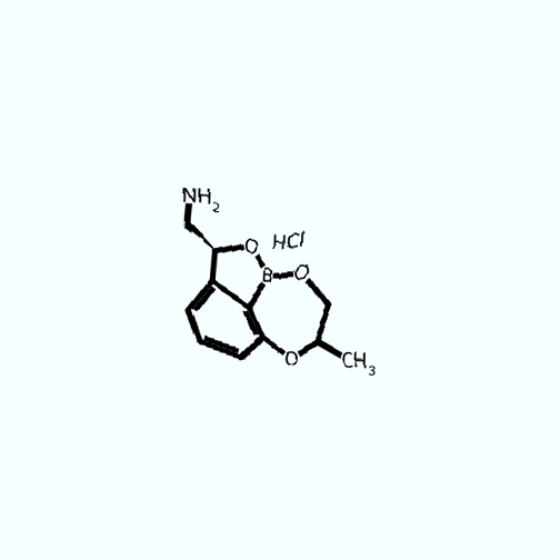 CC1COB2O[C@H](CN)c3cccc(c32)O1.Cl